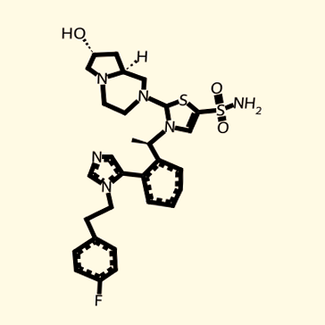 C[C@H](c1ccccc1-c1cncn1CCc1ccc(F)cc1)N1C=C(S(N)(=O)=O)SC1N1CCN2C[C@H](O)C[C@H]2C1